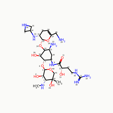 CN[C@@H]1[C@@H](O)[C@@H](O[C@H]2[C@H](NC(=O)[C@@H](O)CCNC(=N)N)C[C@H](N)C(O[C@H]3OC(CN)=CC[C@H]3NC3CNC3)[C@@H]2O)OC[C@]1(C)O